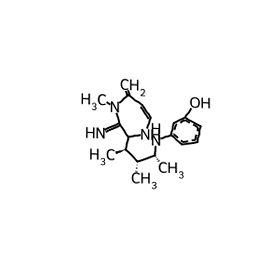 C=C1C=CNC([C@H](C)[C@@H](C)[C@@H](C)Nc2cccc(O)c2)C(=N)N1C